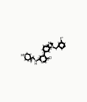 Fc1cccc(Cn2cnc3ccc(-c4cc(NCC5(F)CCNCC5)ncc4Cl)cc32)c1